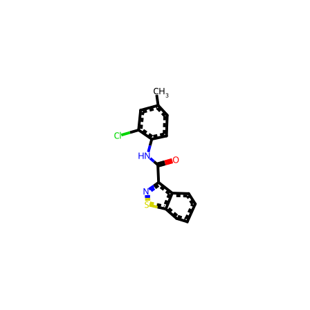 Cc1ccc(NC(=O)c2nsc3ccccc23)c(Cl)c1